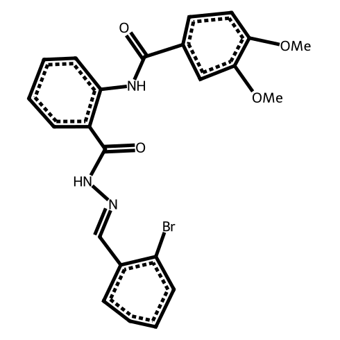 COc1ccc(C(=O)Nc2ccccc2C(=O)NN=Cc2ccccc2Br)cc1OC